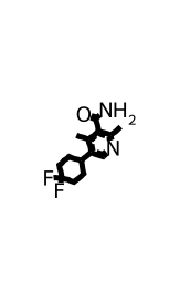 Cc1ncc(C2CCC(F)(F)CC2)c(C)c1C(N)=O